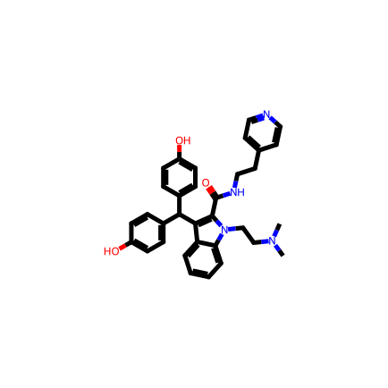 CN(C)CCn1c(C(=O)NCCc2ccncc2)c(C(c2ccc(O)cc2)c2ccc(O)cc2)c2ccccc21